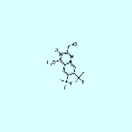 Cc1c2cc(C(F)(F)F)c(C(F)(F)F)cc2nc(CCl)[n+]1[O-]